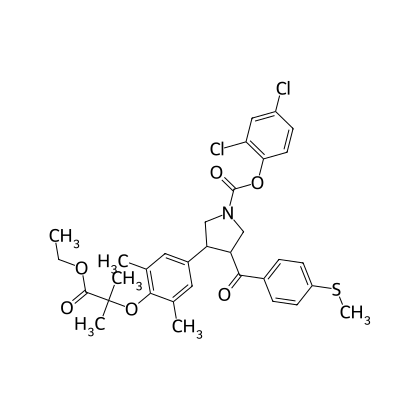 CCOC(=O)C(C)(C)Oc1c(C)cc(C2CN(C(=O)Oc3ccc(Cl)cc3Cl)CC2C(=O)c2ccc(SC)cc2)cc1C